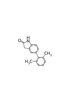 Cc1cccc(C)c1-c1ccc2c(c1)CC(=O)N2